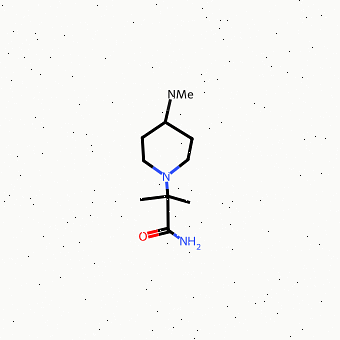 CNC1CCN(C(C)(C)C(N)=O)CC1